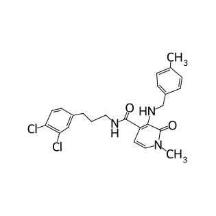 Cc1ccc(CNc2c(C(=O)NCCCc3ccc(Cl)c(Cl)c3)ccn(C)c2=O)cc1